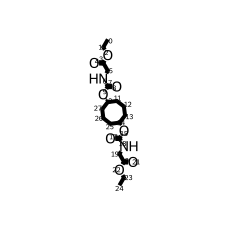 CCOC(=O)CNC(=O)O[C@H]1CCC[C@@H](OC(=O)NCC(=O)OCC)CCC1